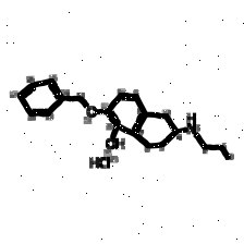 CCCN[C@H]1CCc2c(ccc(OCc3ccccc3)c2O)C1.Cl